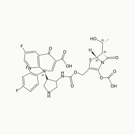 C[C@@H](O)[C@@H]1C(=O)N2C(OC(=O)O)=C(COC(=O)NC3CNCC3[N@+]3(c4ccc(F)cc4F)C=C(C(=O)O)C(=O)c4cc(F)cnc43)S[C@H]12